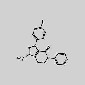 O=C(O)c1nn(-c2ccc(F)cc2)c2c1CCN(c1ccccc1)C2=O